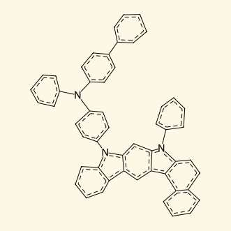 c1ccc(-c2ccc(N(c3ccccc3)c3ccc(-n4c5ccccc5c5cc6c7c8ccccc8ccc7n(-c7ccccc7)c6cc54)cc3)cc2)cc1